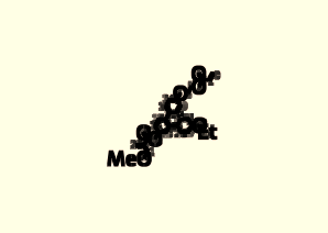 C=CC(=O)OCCOc1ccc(-c2ccc(OC(=O)C(=C)COC)cc2C2CCC(OCC)CC2)cc1